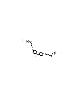 CC(C)(C)N=NC(C)(C#N)CCCOc1ccc(C(=O)c2ccc(OCCCC(C)(C#N)N=NC(C)(C)C)cc2O)cc1